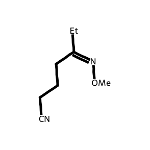 CCC(CCCC#N)=NOC